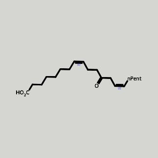 CCCCC/C=C\CC(=O)CC/C=C\CCCCCCC(=O)O